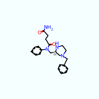 NC(=O)CCC(=O)N(C[C@@H]1CN(Cc2ccccc2)CCN1)c1ccccc1